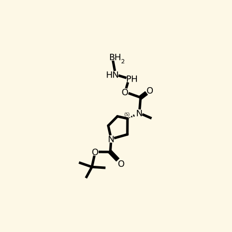 BNPOC(=O)N(C)[C@H]1CCN(C(=O)OC(C)(C)C)C1